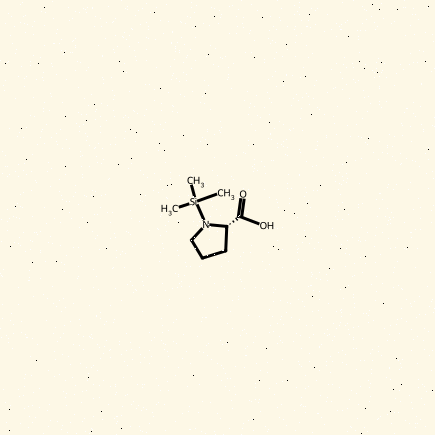 C[Si](C)(C)N1CCC[C@H]1C(=O)O